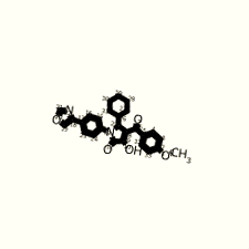 COc1ccc(C(=O)C2=C(O)C(=O)N(c3ccc(-c4cocn4)cc3)C2C2CCCCC2)cc1